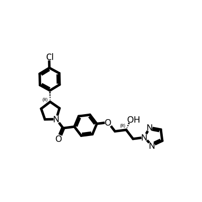 O=C(c1ccc(OC[C@H](O)Cn2nccn2)cc1)N1CC[C@H](c2ccc(Cl)cc2)C1